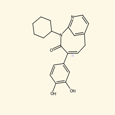 O=C1/C(c2ccc(O)c(O)c2)=C\Cc2ccnc(c2)N1C1CCCCC1